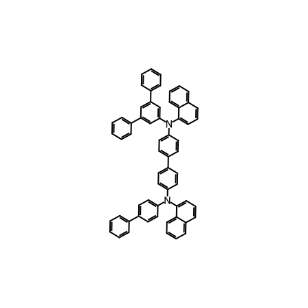 c1ccc(-c2ccc(N(c3ccc(-c4ccc(N(c5cc(-c6ccccc6)cc(-c6ccccc6)c5)c5cccc6ccccc56)cc4)cc3)c3cccc4ccccc34)cc2)cc1